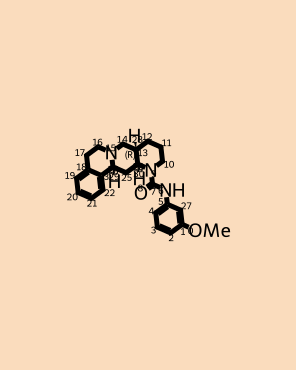 COc1cccc(NC(=O)N2CCC[C@@H]3CN4CCc5ccccc5[C@@H]4C[C@@H]32)c1